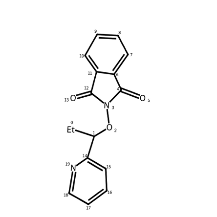 CCC(ON1C(=O)c2ccccc2C1=O)c1ccccn1